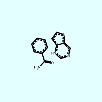 NC(=O)c1ccccc1.c1cc2[nH]cncc-2n1